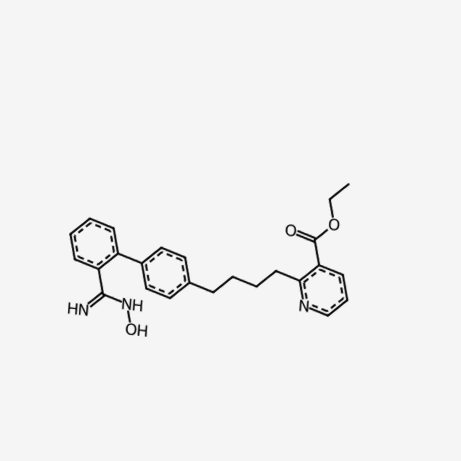 CCOC(=O)c1cccnc1CCCCc1ccc(-c2ccccc2C(=N)NO)cc1